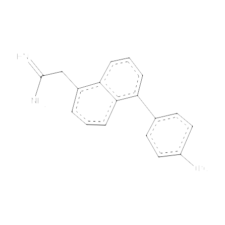 CC(C)(C)c1ccc(-c2cccc3c(CC(=N)N)cccc23)cc1